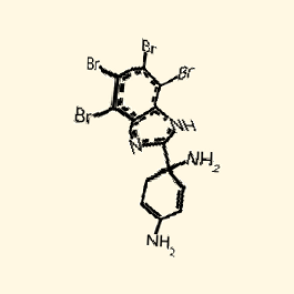 NC1=CCC(N)(c2nc3c(Br)c(Br)c(Br)c(Br)c3[nH]2)C=C1